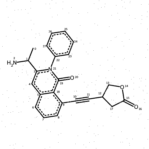 CC(N)c1cc2cccc(C#CC3COC(=O)C3)c2c(=O)n1-c1ccccc1